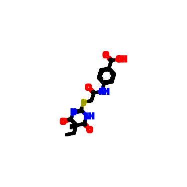 CC[C@H]1C(=O)N=C(SCC(=O)Nc2ccc(C(=O)O)cc2)NC1=O